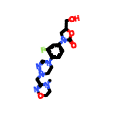 CN1CCON=C1CN1CCN(c2ccc(N3CC(CO)OC3=O)cc2F)C=N1